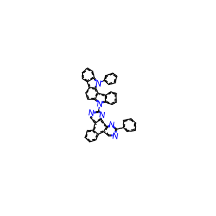 c1ccc(-c2ncc3c4ccccc4c4cnc(-n5c6ccccc6c6c5ccc5c7ccccc7n(-c7ccccc7)c56)nc4c3n2)cc1